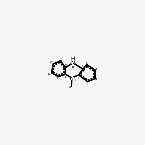 CN1c2cc[c]cc2Nc2ccccc21